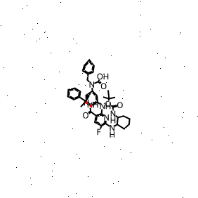 CC(C)(C)OC(=O)NC1CCCCC1Nc1nc(Nc2cncc(N(Cc3ccccc3)C(=O)O)c2)c(C(=O)NC(C)(C)c2ccccc2)cc1F